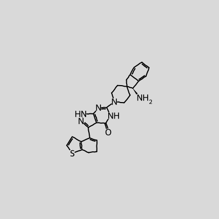 N[C@@H]1c2ccccc2CC12CCN(c1nc3[nH]nc(C4=CCCc5sccc54)c3c(=O)[nH]1)CC2